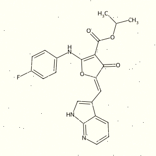 CC(C)OC(=O)C1=C(Nc2ccc(F)cc2)O/C(=C\c2c[nH]c3ncccc23)C1=O